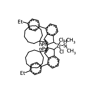 CCCC1(CC2=Cc3c(-c4ccc(CC)cc4)cccc3[CH]2[Zr]([Cl])([Cl])([CH]2C(CC3(CCC)CCCCCCCC3)=Cc3c(-c4ccc(CC)cc4)cccc32)[SiH](C)C)CCCCCCCC1